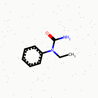 CCN(C(N)=O)c1ccccc1